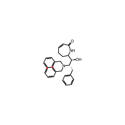 O=C1C=CCCC([C@@H](O)[C@H](Cc2ccccc2)N(Cc2ccccc2)Cc2ccccc2)N1